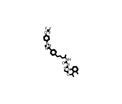 Cc1cccc(N2C(=O)CS/C2=N\C(=O)NC(C)CCCc2ccc(-c3ncn(-c4ccc(OC(F)(F)F)cc4)n3)cc2)c1C(C)C